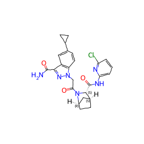 NC(=O)c1nn(CC(=O)N2[C@@H]3CC[C@@H](C3)[C@H]2C(=O)Nc2cccc(Cl)n2)c2ccc(C3CC3)cc12